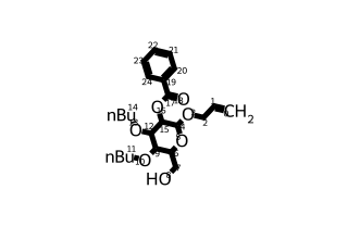 C=CCOC1OC(CO)C(OCCCC)C(OCCCC)C1OC(=O)c1ccccc1